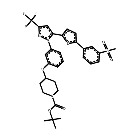 CC(C)(C)OC(=O)N1CCC(Oc2cccc(-n3nc(C(F)(F)F)cc3-c3ccc(-c4cccc(S(C)(=O)=O)c4)s3)c2)CC1